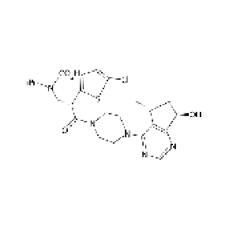 CC(C)N(C[C@@H](C(=O)N1CCN(c2ncnc3c2[C@H](C)C[C@H]3O)CC1)c1ccc(Cl)s1)C(=O)O